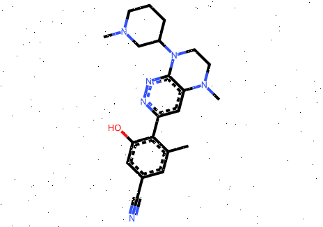 Cc1cc(C#N)cc(O)c1-c1cc2c(nn1)N(C1CCCN(C)C1)CCN2C